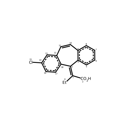 CCC(C(=O)O)=C1c2ccccc2C=Cc2cc(Cl)ccc21